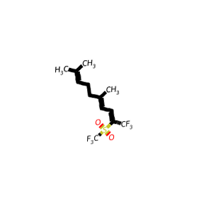 CC(C)=CCC/C(C)=C/C=C(/C(F)(F)F)S(=O)(=O)C(F)(F)F